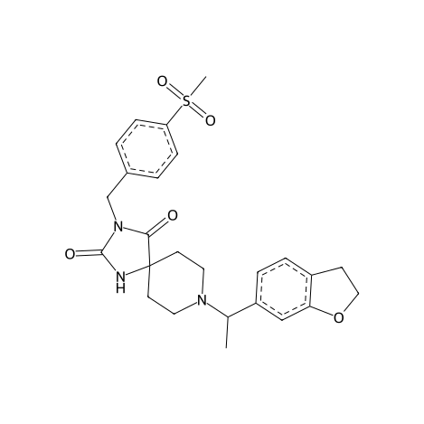 CC(c1ccc2c(c1)OCC2)N1CCC2(CC1)NC(=O)N(Cc1ccc(S(C)(=O)=O)cc1)C2=O